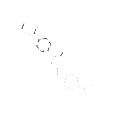 CCOC(=O)CC(C(=O)O)N1CCN(CC2CN(c3ccc(C(=N)NC(=O)CC)cc3)C(=O)O2)CC1